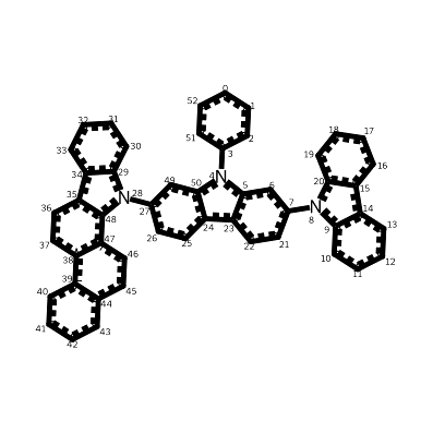 c1ccc(-n2c3cc(-n4c5ccccc5c5ccccc54)ccc3c3ccc(-n4c5ccccc5c5ccc6c7ccccc7ccc6c54)cc32)cc1